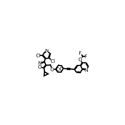 FC(F)Oc1ccnc2ccc(C#CC34CCC(OCc5c(-c6c(Cl)cncc6Cl)noc5C5CC5)(CC3)CC4)cc12